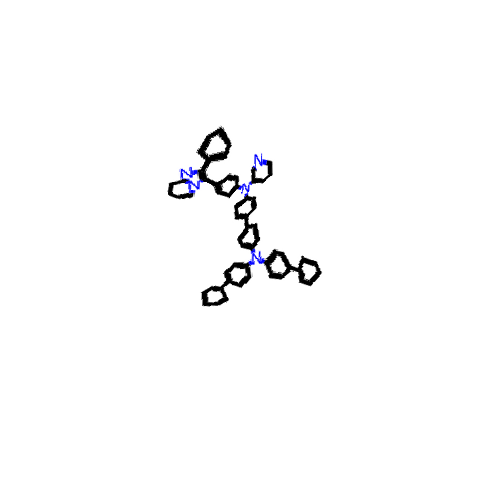 c1ccc(-c2ccc(N(c3ccc(-c4ccccc4)cc3)c3ccc(-c4ccc(N(c5ccc(-c6c(-c7ccccc7)nc7ccccn67)cc5)c5cccnc5)cc4)cc3)cc2)cc1